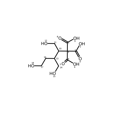 O=C(O)C(C(=O)O)(C(=O)O)C(CO)C(CO)CCO